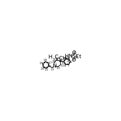 CCS(=O)(=O)Nc1cccc(C2(C)CCN(Cc3ccccc3)CC2C)c1